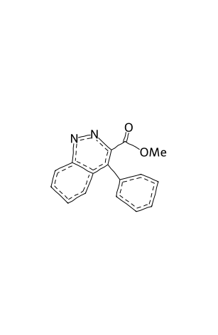 COC(=O)c1nnc2ccccc2c1-c1ccccc1